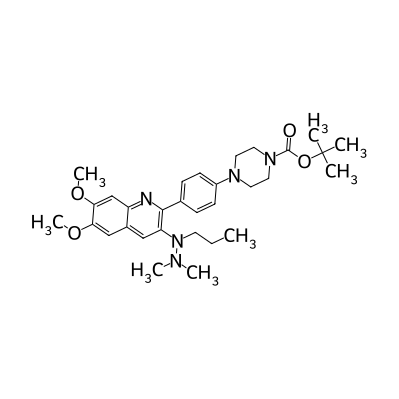 CCCN(c1cc2cc(OC)c(OC)cc2nc1-c1ccc(N2CCN(C(=O)OC(C)(C)C)CC2)cc1)N(C)C